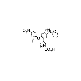 O=C(O)n1cc(-c2cc3c(cnn3C3CCCCO3)cc2Oc2ccc([N+](=O)[O-])cc2F)cn1